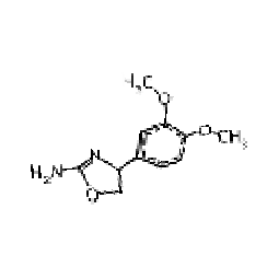 COc1ccc(C2COC(N)=N2)cc1OC